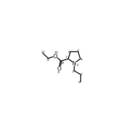 CCCN1CCCC1C(=O)OCC